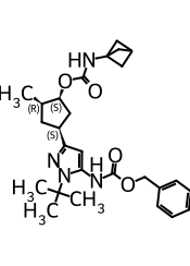 C[C@@H]1C[C@H](c2cc(NC(=O)OCc3ccccc3)n(C(C)(C)C)n2)C[C@@H]1OC(=O)NC12CC(C1)C2